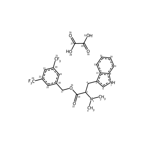 CN(C)C(Cc1c[nH]c2ccccc12)C(=O)OCc1cc(C(F)(F)F)cc(C(F)(F)F)c1.O=C(O)C(=O)O